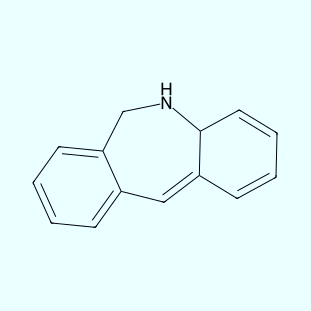 C1=CC2=Cc3ccccc3CNC2C=C1